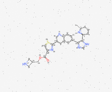 Cc1cccc(-c2[nH]cnc2-c2ccc3ncc(-c4nc(C(=O)OCC5CNC5)cs4)cc3c2)n1